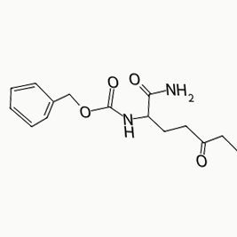 CCC(=O)CCC(NC(=O)OCc1ccccc1)C(N)=O